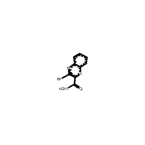 CCCCCCCCC(=O)c1nc2ccccc2nc1Br